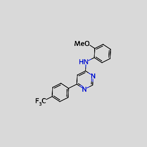 COc1ccccc1Nc1cc(-c2ccc(C(F)(F)F)cc2)ncn1